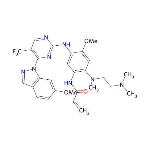 C=CC(=O)Nc1cc(Nc2ncc(C(F)(F)F)c(-n3ncc4ccc(OC)cc43)n2)c(OC)cc1N(C)CCN(C)C